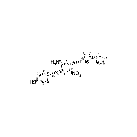 Nc1cc(C#Cc2ccc(-c3cccs3)s2)c([N+](=O)[O-])cc1C#Cc1ccc(S)cc1